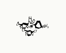 COc1cc(NS(=O)(=O)c2ccc(N)cc2)ncn1.Clc1cc(Cl)ncn1